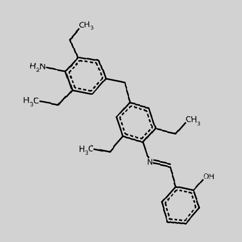 CCc1cc(Cc2cc(CC)c(/N=C/c3ccccc3O)c(CC)c2)cc(CC)c1N